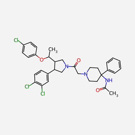 CC(=O)NC1(c2ccccc2)CCN(CC(=O)N2CC(c3ccc(Cl)c(Cl)c3)C(C(C)Oc3ccc(Cl)cc3)C2)CC1